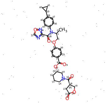 CC(COc1ccc(C(=O)O[C@H]2CCCN(C(=O)[C@H]3COC(=O)C3)C2)cc1)N(C(=O)c1ncon1)c1ccc(C2CC2)cc1